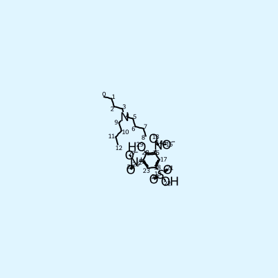 CCCCN(CCCC)CCCC.O=[N+]([O-])c1cc(S(=O)(=O)O)cc([N+](=O)[O-])c1O